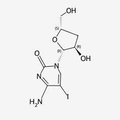 Nc1nc(=O)n([C@@H]2O[C@H](CO)C[C@H]2O)cc1I